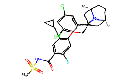 CS(=O)(=O)NC(=O)c1cc(C2CC2)c(OC[C@H]2C[C@H]3CC[C@@H](C2)N3Cc2cc(Cl)cc(Cl)c2)cc1F